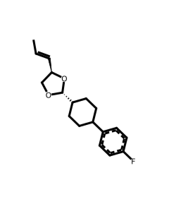 C/C=C/[C@@H]1CO[C@@H](C2CCC(c3ccc(F)cc3)CC2)O1